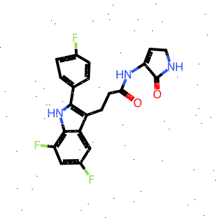 O=C(CCc1c(-c2ccc(F)cc2)[nH]c2c(F)cc(F)cc12)NC1=CCNC1=O